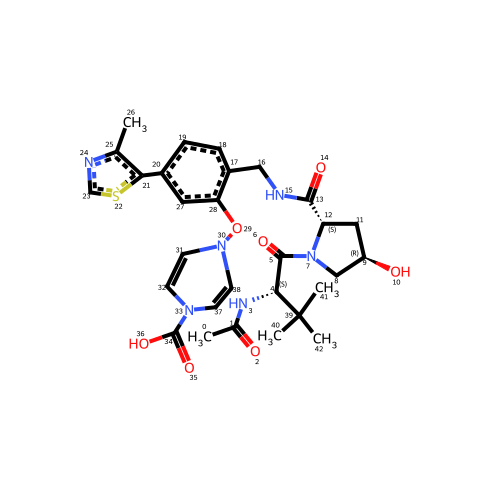 CC(=O)N[C@H](C(=O)N1C[C@H](O)C[C@H]1C(=O)NCc1ccc(-c2scnc2C)cc1ON1C=CN(C(=O)O)C=C1)C(C)(C)C